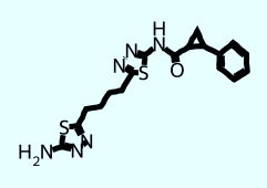 Nc1nnc(CCCCc2nnc(NC(=O)C3CC3c3ccccc3)s2)s1